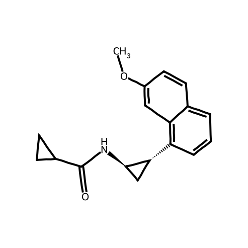 COc1ccc2cccc([C@@H]3C[C@H]3NC(=O)C3CC3)c2c1